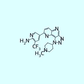 CN1CCC(n2nnc3cnc4ccc(-c5cnc(N)c(C(F)(F)F)c5)nc4c32)CC1